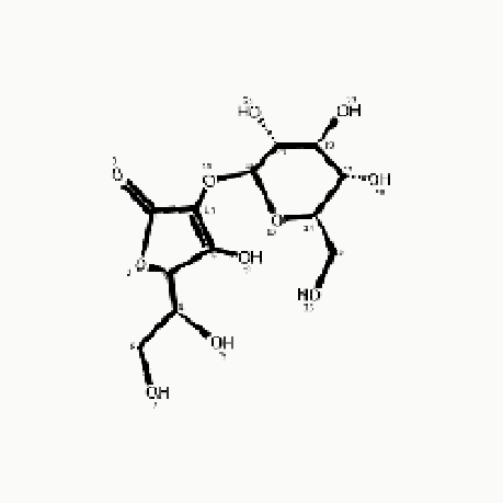 O=C1O[C@H]([C@@H](O)CO)C(O)=C1O[C@@H]1O[C@H](CO)[C@@H](O)[C@H](O)[C@H]1O